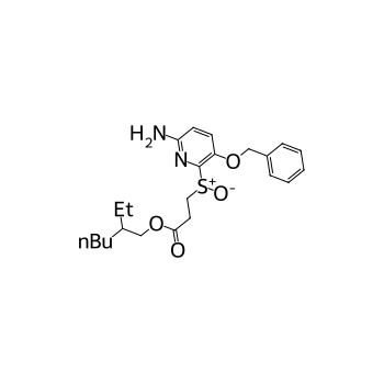 CCCCC(CC)COC(=O)CC[S+]([O-])c1nc(N)ccc1OCc1ccccc1